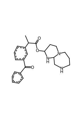 CC(C(=O)OC1CCN2CCCNCC2N1)c1cccc(C(=O)c2ccccc2)c1